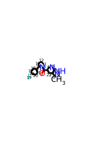 Cc1n[nH]c2ncc(C(=O)N3CCCC3c3ccc(F)cc3)cc12